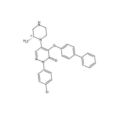 C[C@@H]1CNCCN1c1cnn(-c2ccc(Cl)cc2)c(=O)c1Oc1ccc(-c2ccccc2)cc1